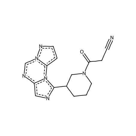 N#CCC(=O)N1CCCC(c2ncc3ncn4nccc4n23)C1